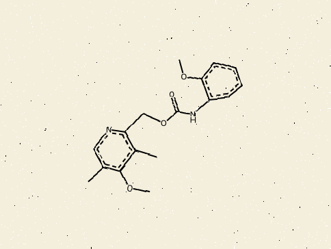 COc1ccccc1NC(=O)OCc1ncc(C)c(OC)c1C